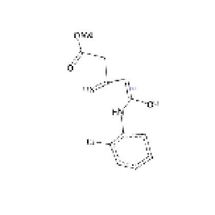 COC(=O)CC(=N)/C=C(/O)Nc1ccccc1Cl